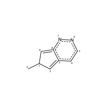 CC1C=c2ccnnc2=C1